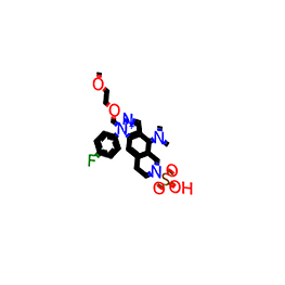 COCCOC[N+]1(c2ccc(F)cc2)N=CC2=C1C=C1CCN(S(=O)(=O)O)CC1C2N(C)C